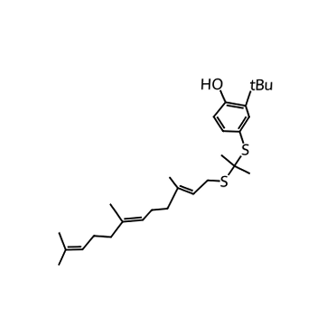 CC(C)=CCC/C(C)=C/CC/C(C)=C/CSC(C)(C)Sc1ccc(O)c(C(C)(C)C)c1